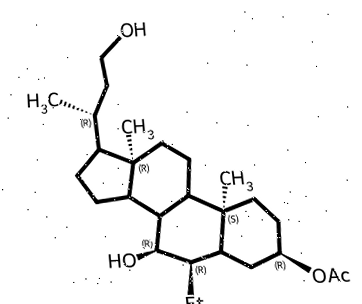 CC[C@@H]1C2C[C@H](OC(C)=O)CC[C@]2(C)C2CC[C@@]3(C)C(CCC3[C@H](C)CCO)C2[C@@H]1O